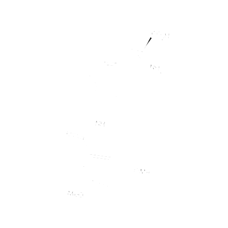 COc1cc(OC)cc(C(=O)NCc2ccc(C[C@H](N)C(=O)O)cc2)c1